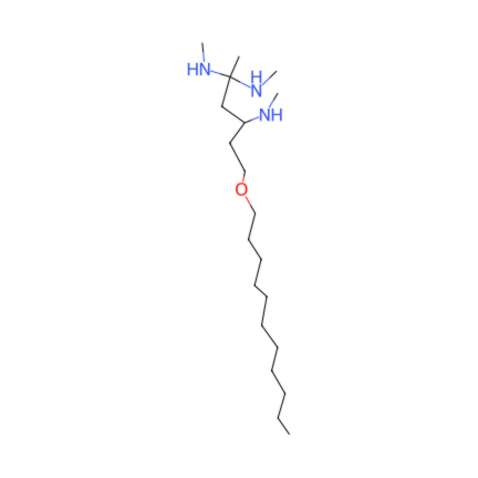 CCCCCCCCCCCOCCC(CC(C)(NC)NC)NC